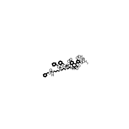 COc1cc(C2c3cc4c(cc3[C@@H](NC(=O)CN(CCCN(CCCCNC(=O)OCc3ccccc3)C(=O)OCc3ccccc3)C(=O)OCc3ccccc3)[C@H]3COC(=O)C23)OCO4)cc(OC)c1O